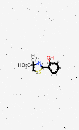 C[C@]1(C(=O)O)CSC(c2ccccc2O)=N1